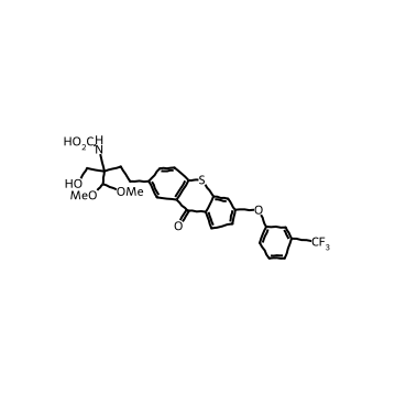 COC(OC)C(CO)(CCc1ccc2sc3cc(Oc4cccc(C(F)(F)F)c4)ccc3c(=O)c2c1)NC(=O)O